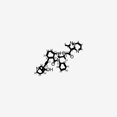 Cc1nn2cccnc2c1C(=O)NC(C)c1nc2cccc(C#CC3(O)CN4CCC3CC4)c2c(=O)n1-c1ccccc1